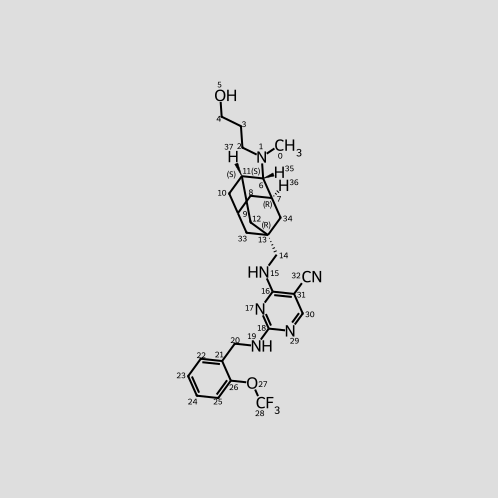 CN(CCCO)[C@@H]1[C@@H]2CC3C[C@H]1C[C@](CNc1nc(NCc4ccccc4OC(F)(F)F)ncc1C#N)(C3)C2